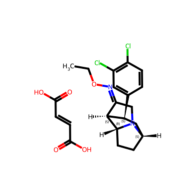 CCON=C1CN2[C@H]3CC[C@@H]2[C@@H]1[C@@H](c1ccc(Cl)c(Cl)c1)C3.O=C(O)C=CC(=O)O